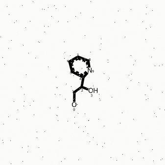 [O]CC(O)c1ccccn1